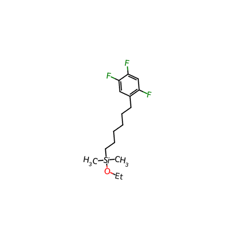 CCO[Si](C)(C)CCCCCCc1cc(F)c(F)cc1F